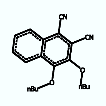 CCCCOc1c(C#N)c(C#N)c2ccccc2c1OCCCC